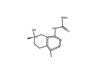 CNC(=O)Nc1ccc(C)c2c1C[C@@](C)(O)CC2